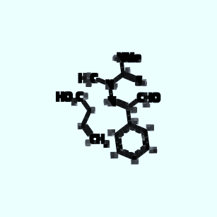 C=CCC(=O)O.CNC(=S)N(C)N=C(C=O)c1ccccc1